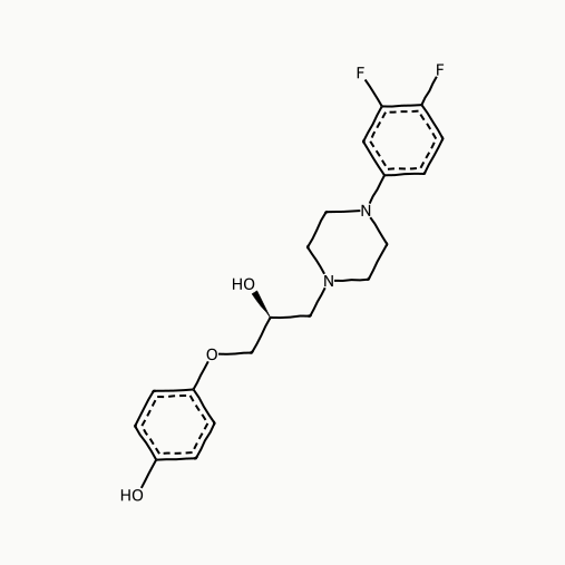 Oc1ccc(OC[C@@H](O)CN2CCN(c3ccc(F)c(F)c3)CC2)cc1